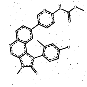 COC(=O)Nc1ccc(-c2ccc3ncc4c(c3c2)n(-c2ccc(Cl)cc2C)c(=O)n4C)cn1